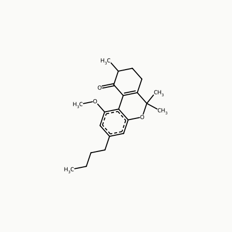 CCCCc1cc(OC)c2c(c1)OC(C)(C)C1=C2C(=O)C(C)CC1